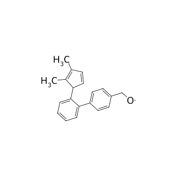 CC1=C(C)C(c2ccccc2-c2ccc(C[O])cc2)C=C1